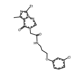 CCc1nc(C)c2c(=O)n(CC(=O)NCCCOc3cccc(Cl)c3)cnn12